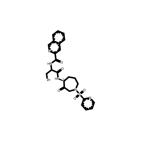 CC(C)CC(NC(=O)c1cc2ccccc2cn1)C(=O)N[C@H]1CCCN(S(=O)(=O)c2ccccn2)CC1=O